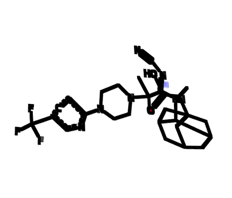 CC(C(=O)O)C12CC3CC(C1)C(N/C(=N/C#N)C(C)(C)N1CCN(c4ccc(C(F)(F)F)cn4)CC1)C(C3)C2